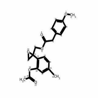 COc1ccc(CC(=O)OCC2(c3ccc(C)cc3OC(C)=O)CO2)cc1